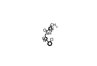 Cn1cc(C(=O)NCc2cc(-c3ccccc3Cl)no2)nn1